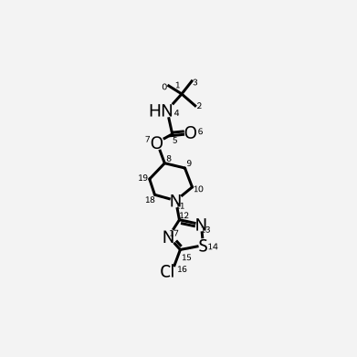 CC(C)(C)NC(=O)OC1CCN(c2nsc(Cl)n2)CC1